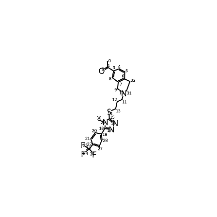 CC(=O)c1ccc2c(c1)CN(CCCSc1nnc(-c3ccc(C(F)(F)F)cc3)n1C)CC2